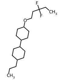 CCCC1CCC(C2CCC(OCCC(F)(F)CC)CC2)CC1